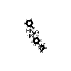 O=C(NCc1ccccc1)N(I)c1ccc(-n2cccn2)cc1